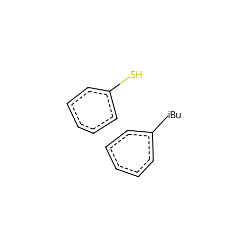 CCC(C)c1ccccc1.Sc1ccccc1